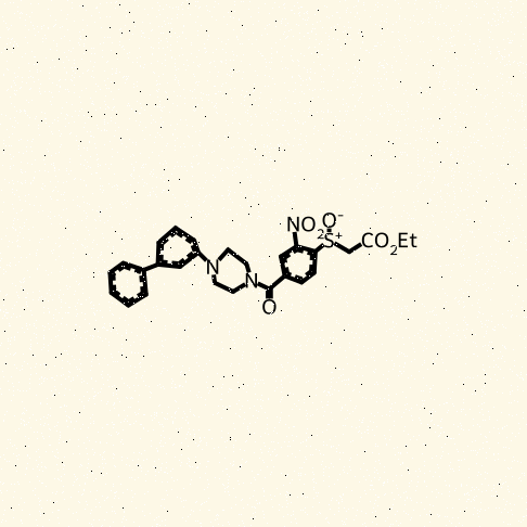 CCOC(=O)C[S+]([O-])c1ccc(C(=O)N2CCN(c3cccc(-c4ccccc4)c3)CC2)cc1[N+](=O)[O-]